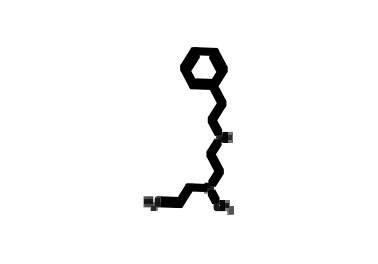 C=CCN(C)CCNCCc1ccccc1